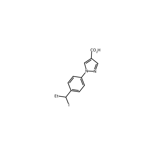 CCC(I)c1ccc(-n2cc(C(=O)O)cn2)cc1